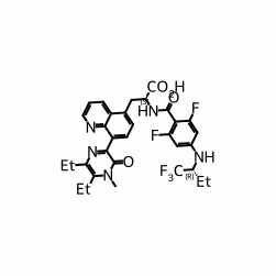 CCc1nc(-c2ccc(C[C@H](NC(=O)c3c(F)cc(N[C@H](CC)C(F)(F)F)cc3F)C(=O)O)c3cccnc23)c(=O)n(C)c1CC